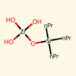 CCC[Si](CCC)(CCC)[O][Zr]([OH])([OH])[OH]